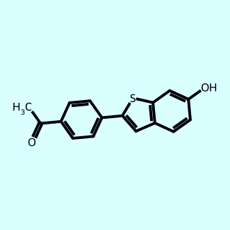 CC(=O)c1ccc(-c2cc3ccc(O)cc3s2)cc1